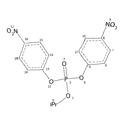 CC(C)OP(=O)(Oc1ccc([N+](=O)[O-])cc1)Oc1ccc([N+](=O)[O-])cc1